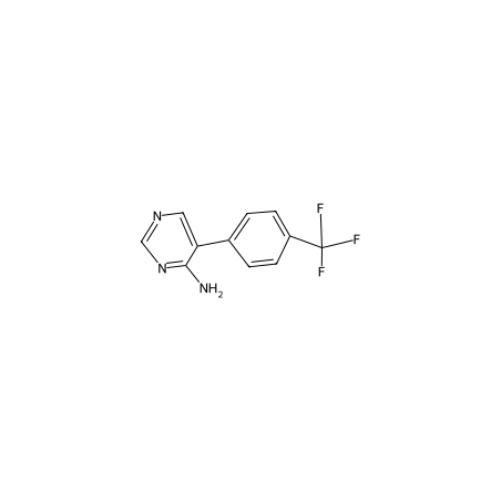 Nc1ncncc1-c1ccc(C(F)(F)F)cc1